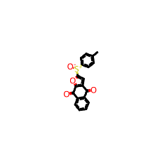 Cc1ccc([S+]([O-])c2cc3c(o2)C(=O)c2ccccc2C3=O)cc1